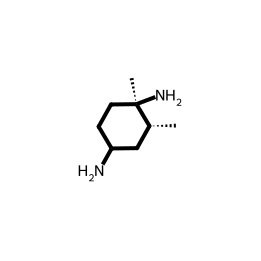 C[C@@H]1CC(N)CC[C@@]1(C)N